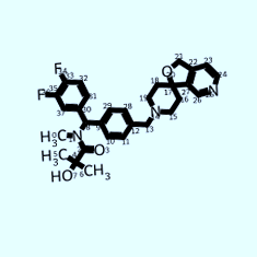 CN(C(=O)C(C)(C)O)C(c1ccc(CN2CCC3(CC2)OCc2ccncc23)cc1)c1ccc(F)c(F)c1